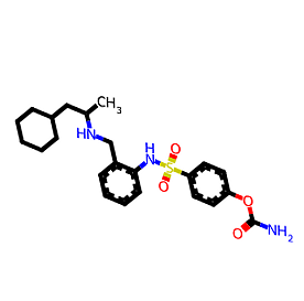 CC(CC1CCCCC1)NCc1ccccc1NS(=O)(=O)c1ccc(OC(N)=O)cc1